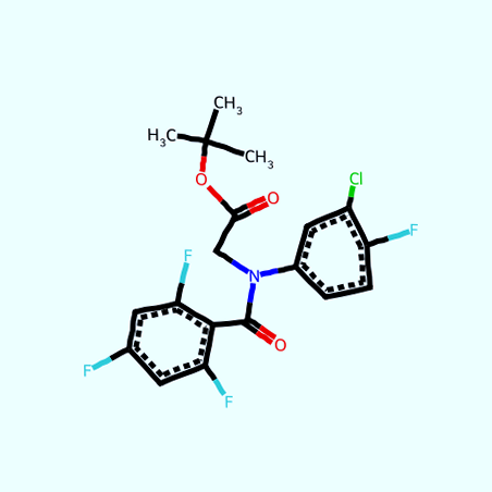 CC(C)(C)OC(=O)CN(C(=O)c1c(F)cc(F)cc1F)c1ccc(F)c(Cl)c1